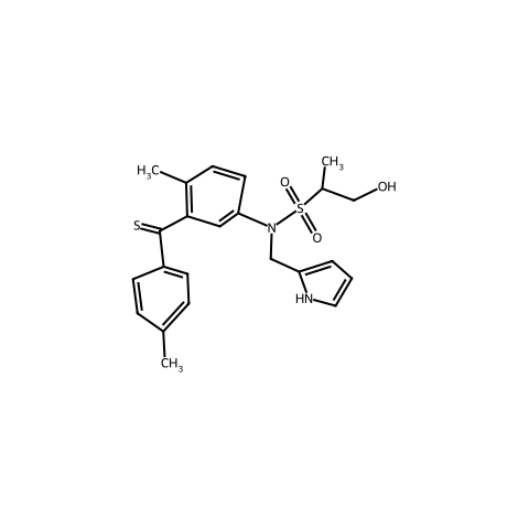 Cc1ccc(C(=S)c2cc(N(Cc3ccc[nH]3)S(=O)(=O)C(C)CO)ccc2C)cc1